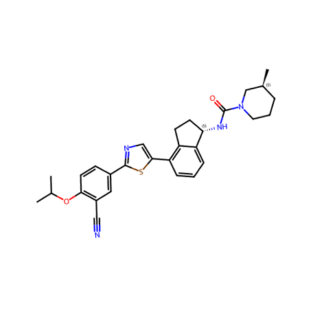 CC(C)Oc1ccc(-c2ncc(-c3cccc4c3CC[C@@H]4NC(=O)N3CCC[C@H](C)C3)s2)cc1C#N